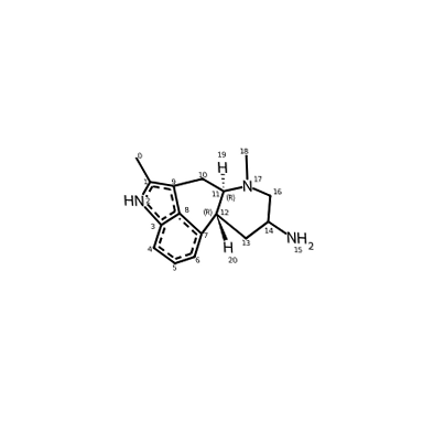 Cc1[nH]c2cccc3c2c1C[C@@H]1[C@@H]3CC(N)CN1C